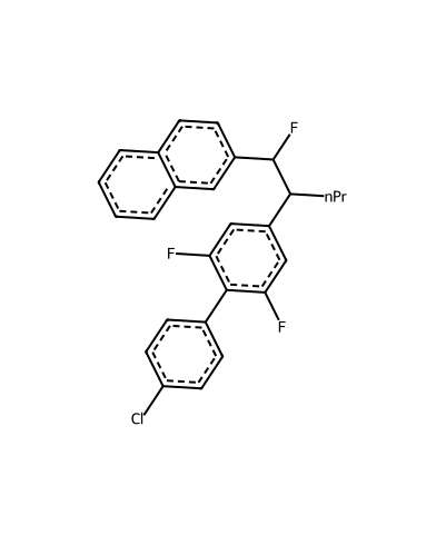 CCCC(c1cc(F)c(-c2ccc(Cl)cc2)c(F)c1)C(F)c1ccc2ccccc2c1